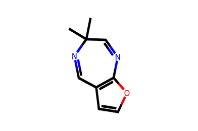 CC1(C)C=Nc2occc2C=N1